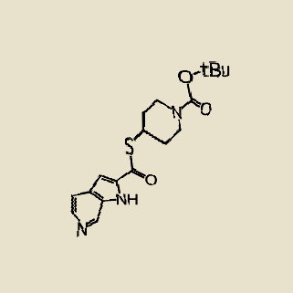 CC(C)(C)OC(=O)N1CCC(SC(=O)c2cc3ccncc3[nH]2)CC1